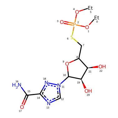 CCOP(=O)(OCC)SCC1OC(n2cnc(C(N)=O)n2)[C@H](O)[C@@H]1O